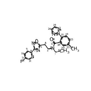 CCN(CCc1nc(-c2ccc(F)cn2)no1)C(=O)c1cc(C)ccc1-n1nccn1